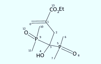 C=C(CC(O)(P(C)(C)=O)P(C)(C)=O)C(=O)OCC